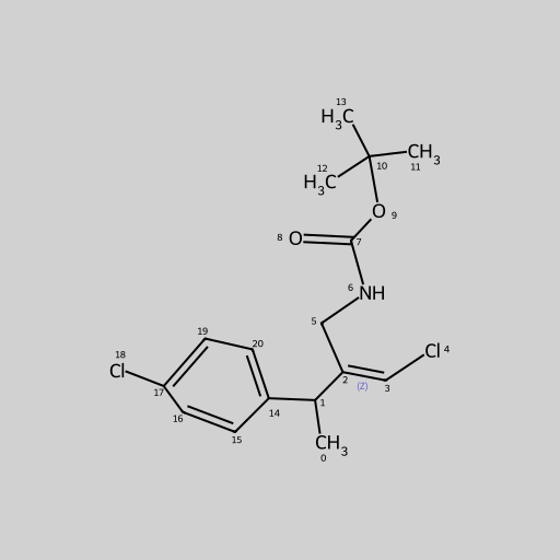 CC(/C(=C/Cl)CNC(=O)OC(C)(C)C)c1ccc(Cl)cc1